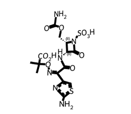 CC(C)(ON=C(C(=O)N[C@H]1C(=O)N(S(=O)(=O)O)[C@H]1COC(N)=O)c1csc(N)n1)C(=O)O